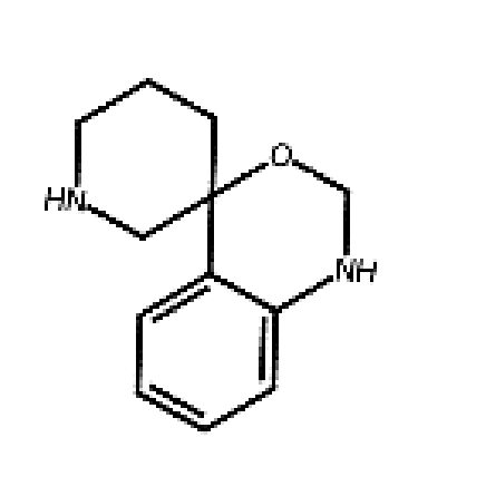 c1ccc2c(c1)NCOC21CCCNC1